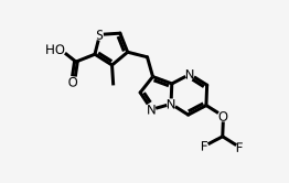 Cc1c(Cc2cnn3cc(OC(F)F)cnc23)csc1C(=O)O